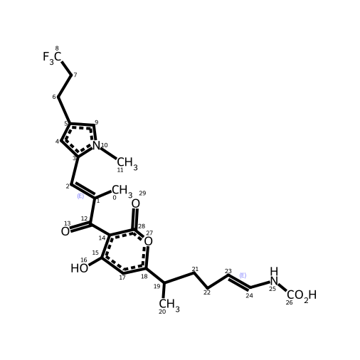 C/C(=C\c1cc(CCC(F)(F)F)cn1C)C(=O)c1c(O)cc(C(C)CC/C=C/NC(=O)O)oc1=O